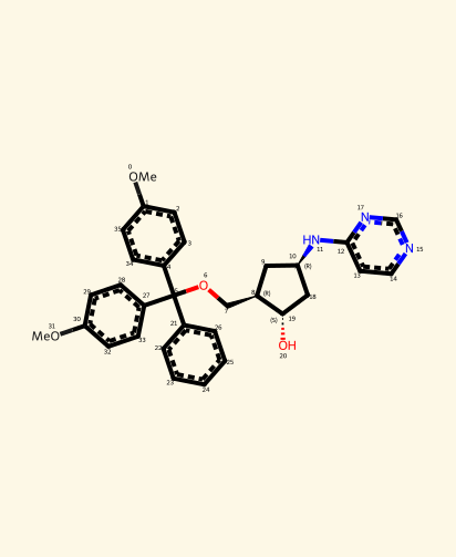 COc1ccc(C(OC[C@H]2C[C@@H](Nc3ccncn3)C[C@@H]2O)(c2ccccc2)c2ccc(OC)cc2)cc1